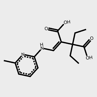 CCC(CC)(C(=O)O)C(=CNc1cccc(C)n1)C(=O)O